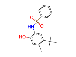 Cc1cc(O)c(NS(=O)(=O)c2ccccc2)cc1C(C)(C)C